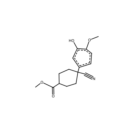 COC(=O)C1CCC(C#N)(c2ccc(OC)c(O)c2)CC1